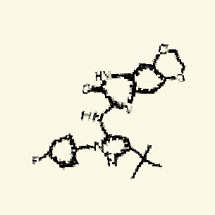 CC(C)(C)c1cc(Nc2nc3cc4c(cc3[nH]c2=O)OCCO4)n(-c2ccc(F)cc2)n1